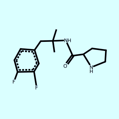 CC(C)(Cc1ccc(F)c(F)c1)NC(=O)C1CCCN1